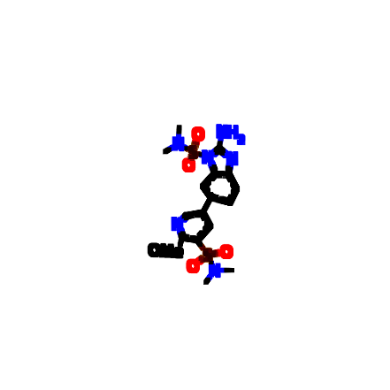 COc1ncc(-c2ccc3nc(N)n(S(=O)(=O)N(C)C)c3c2)cc1S(=O)(=O)N(C)C